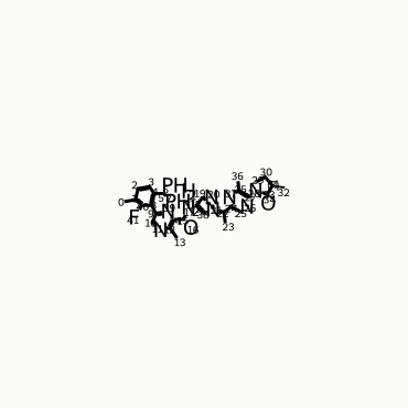 Cc1ccc(C(P)P)c(-c2cnc(C)c(C(=O)Nc3cnn(C(C)c4cnc(N5CC[C@@H](C)C5=O)c(C)n4)c3)n2)c1F